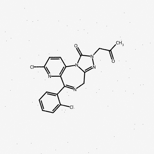 CC(=O)Cn1nc2n(c1=O)-c1ccc(Cl)nc1C(c1ccccc1Cl)=NC2